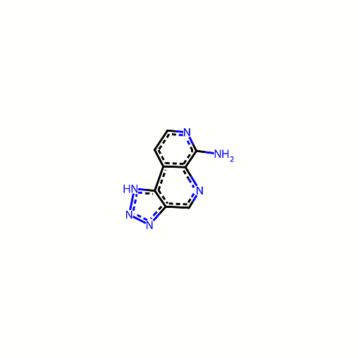 Nc1nccc2c1ncc1nn[nH]c12